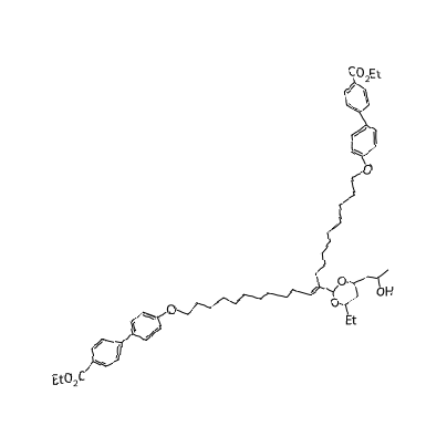 CCOC(=O)c1ccc(-c2ccc(OCCCCCCCCCC/C=C(\CCCCCCCCCOc3ccc(-c4ccc(C(=O)OCC)cc4)cc3)C3OC(CC)CC(CC(C)O)O3)cc2)cc1